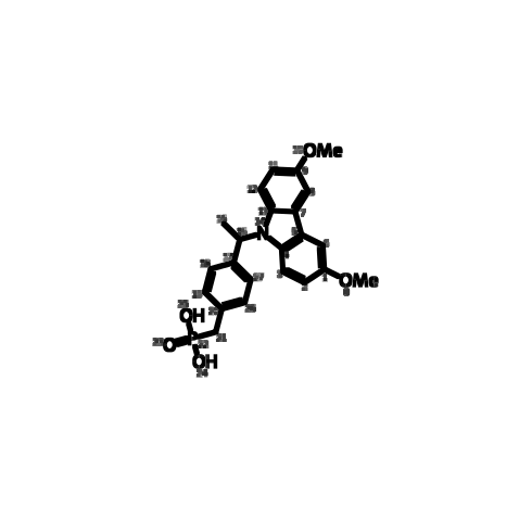 COc1ccc2c(c1)c1cc(OC)ccc1n2C(C)c1ccc(CP(=O)(O)O)cc1